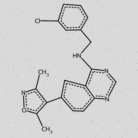 Cc1noc(C)c1-c1ccc2ncnc(NCc3cccc(Cl)c3)c2c1